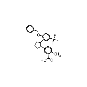 Cc1ccc(C2=C(c3cc(C(F)(F)F)ccc3OCc3ccccc3)CCC2)cc1C(=O)O